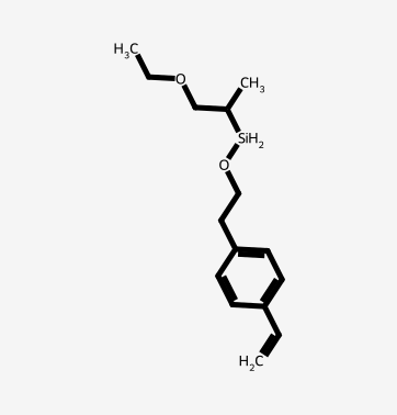 C=Cc1ccc(CCO[SiH2]C(C)COCC)cc1